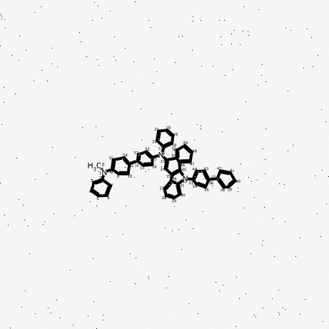 CN(c1ccccc1)c1ccc(-c2ccc(N(c3ccccc3)c3cc4c5ccccc5n(-c5ccc(-c6ccccc6)cc5)c4c4ccccc34)cc2)cc1